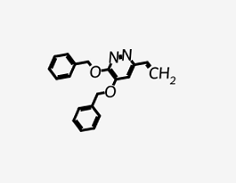 C=Cc1cc(OCc2ccccc2)c(OCc2ccccc2)nn1